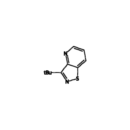 CC(C)(C)c1nsc2cccnc12